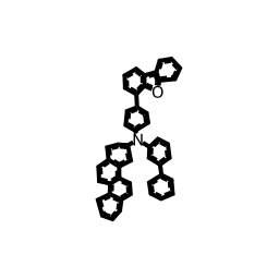 c1ccc(-c2cccc(N(c3ccc(-c4cccc5c4oc4ccccc45)cc3)c3ccc4ccc5c6ccccc6ccc5c4c3)c2)cc1